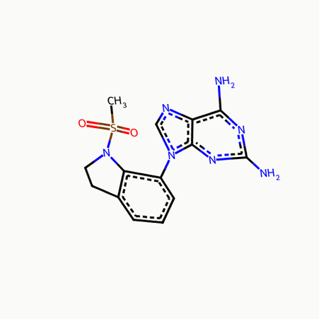 CS(=O)(=O)N1CCc2cccc(-n3cnc4c(N)nc(N)nc43)c21